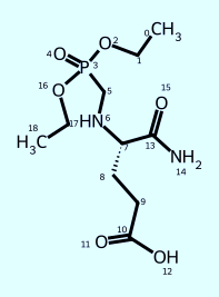 CCOP(=O)(CN[C@@H](CCC(=O)O)C(N)=O)OCC